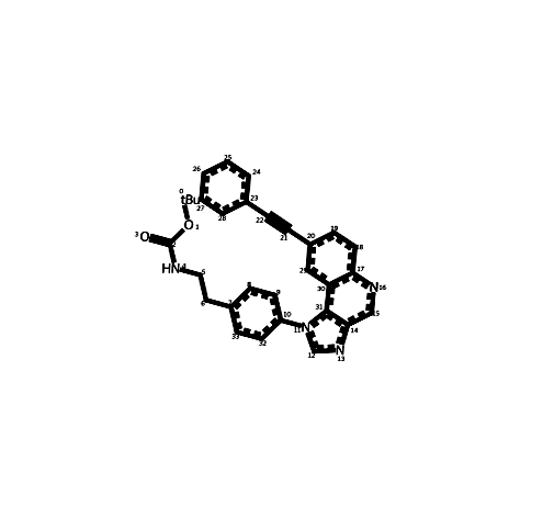 CC(C)(C)OC(=O)NCCc1ccc(-n2cnc3cnc4ccc(C#Cc5ccccc5)cc4c32)cc1